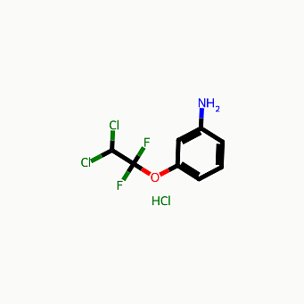 Cl.Nc1cccc(OC(F)(F)C(Cl)Cl)c1